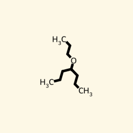 CCCO[C](CCC)CCC